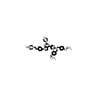 COc1ccc(CN(Cc2ccc(OC)cc2)c2ncc(-c3nc(N4CCOCC4)nc4c3CCN4c3ccc(CCN4CCNCC4)cc3)cn2)cc1